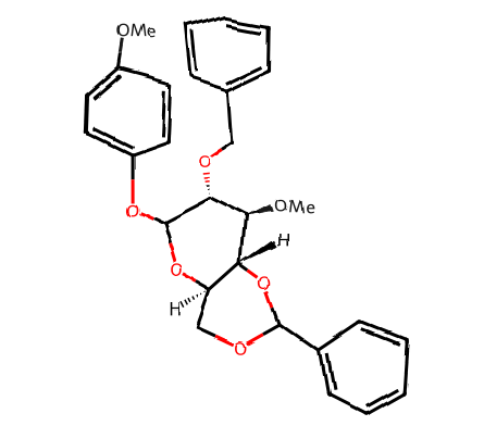 COc1ccc(OC2O[C@@H]3COC(c4ccccc4)O[C@H]3[C@H](OC)[C@H]2OCc2ccccc2)cc1